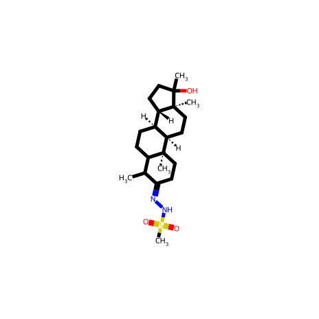 CC1/C(=N/NS(C)(=O)=O)CC[C@@]2(C)C1CC[C@@H]1[C@H]2CC[C@@]2(C)[C@H]1CCC2(C)O